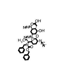 CC[C@@H](C1CC[C@@H](N=[N+]=[N-])[C@@H](O[C@H]2[C@@H](O)[C@@H](CC(=O)O)[C@H](N=[N+]=[N-])C[C@@H]2N=[N+]=[N-])O1)N(Cc1ccccc1)C(=O)OCc1ccccc1